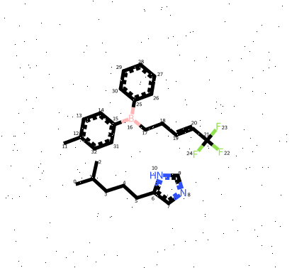 CC(C)CCCc1cnc[nH]1.Cc1ccc(B(CCC=CC(F)(F)F)c2ccccc2)cc1